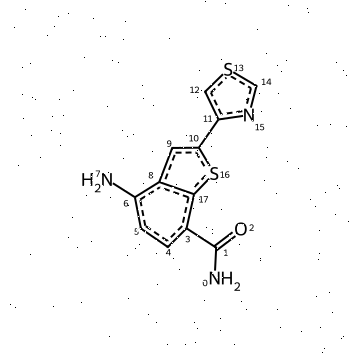 NC(=O)c1ccc(N)c2cc(-c3cscn3)sc12